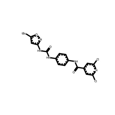 CC(C)(C)c1cc(NC(=O)Nc2ccc(NC(=O)c3cc(Cl)nc(Cl)c3)cc2)no1